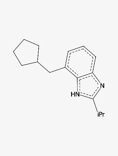 CC(C)c1nc2cccc(CC3CCCC3)c2[nH]1